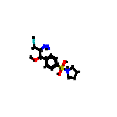 CO[C@H](c1ccc(S(=O)(=O)N2CCCC2)cc1)[C@H](N)CF